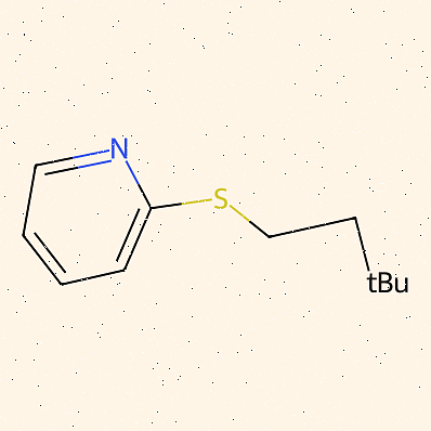 CC(C)(C)CCSc1ccccn1